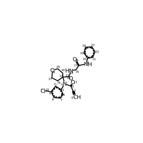 C#CC(=O)N(c1cccc(Cl)c1)C1(C(=O)NCC(=O)Nc2ccccc2)CCOCC1